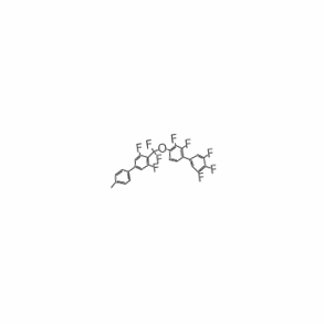 Cc1ccc(-c2cc(F)c(C(F)(F)Oc3ccc(-c4cc(F)c(F)c(F)c4)c(F)c3F)c(F)c2)cc1